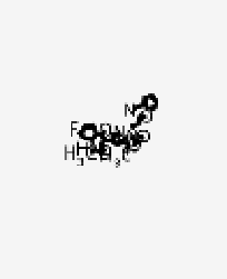 CCc1cc2c(C(=O)NC)c(-c3ccc(F)cc3)oc2nc1N(CCCOc1ccccc1C#N)[SH](=O)=O